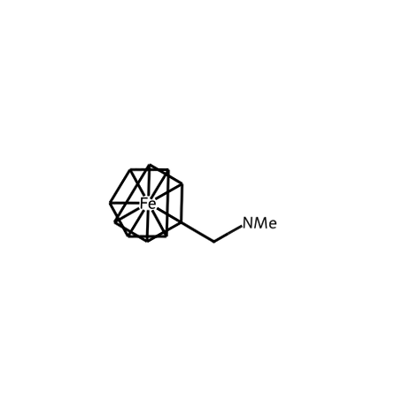 CNC[C]12[CH]3[CH]4[CH]5[CH]1[Fe]45321678[CH]2[CH]1[CH]6[CH]7[CH]28